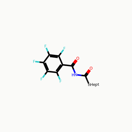 CCCCCCCC(=O)NC(=O)c1c(F)c(F)c(F)c(F)c1F